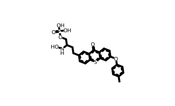 Cc1ccc(Oc2ccc3c(=O)c4cc(CCC(COP(=O)(O)O)NO)ccc4sc3c2)cc1